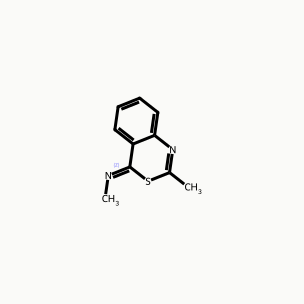 C/N=c1\sc(C)nc2ccccc12